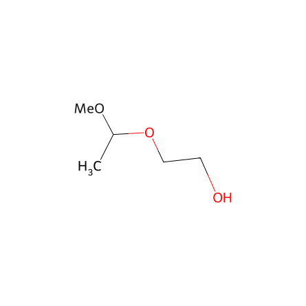 COC(C)OCCO